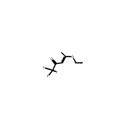 CCOC(C)=CC(=O)C(F)(F)F